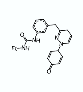 CCNC(=O)Nc1cccc(CC2=NN(C3C=CC(=O)C=C3)C=CC2)c1